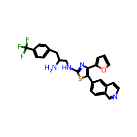 NC(CNc1nc(-c2ccco2)c(-c2ccc3cnccc3c2)s1)Cc1ccc(C(F)(F)F)cc1